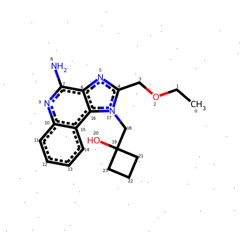 CCOCc1nc2c(N)nc3ccccc3c2n1CC1(O)CCC1